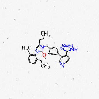 CCCc1cn(-c2c(CC)cccc2CC)c(=O)n1Cc1ccc(-c2cnccc2-c2nnn[nH]2)cc1